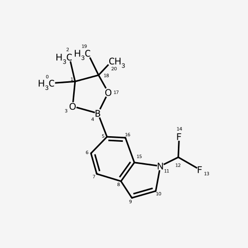 CC1(C)OB(c2ccc3ccn(C(F)F)c3c2)OC1(C)C